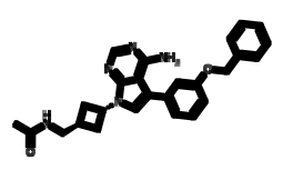 CC(=O)NC[C@H]1C[C@H](n2cc(-c3cccc(OCc4ccccc4)c3)c3c(N)ncnc32)C1